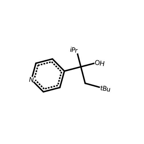 CC(C)C(O)(CC(C)(C)C)c1ccncc1